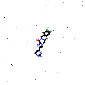 CC1Cn2cc(-c3ccnc(Cl)n3)nc2C(=O)N1Cc1ccc(F)c(Cl)c1